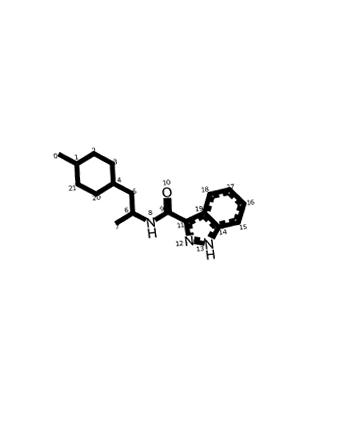 CC1CCC(CC(C)NC(=O)c2n[nH]c3ccccc23)CC1